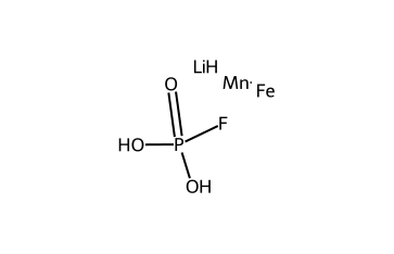 O=P(O)(O)F.[Fe].[LiH].[Mn]